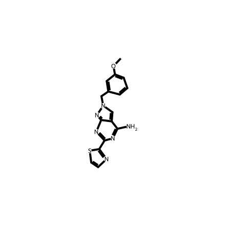 COc1cccc(Cn2cc3c(N)nc(-c4nccs4)nc3n2)c1